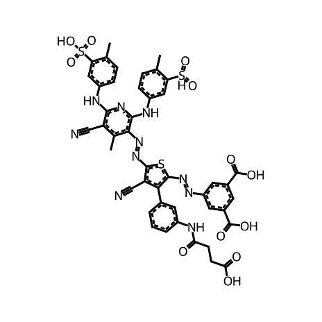 Cc1ccc(Nc2nc(Nc3ccc(C)c(S(=O)(=O)O)c3)c(C#N)c(C)c2N=Nc2sc(N=Nc3cc(C(=O)O)cc(C(=O)O)c3)c(-c3cccc(NC(=O)CCC(=O)O)c3)c2C#N)cc1[SH](=O)=O